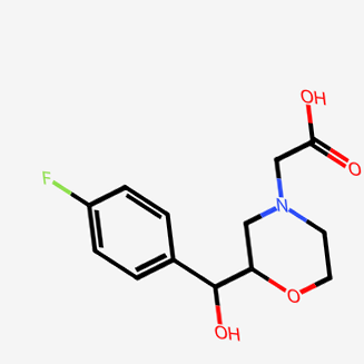 O=C(O)CN1CCOC(C(O)c2ccc(F)cc2)C1